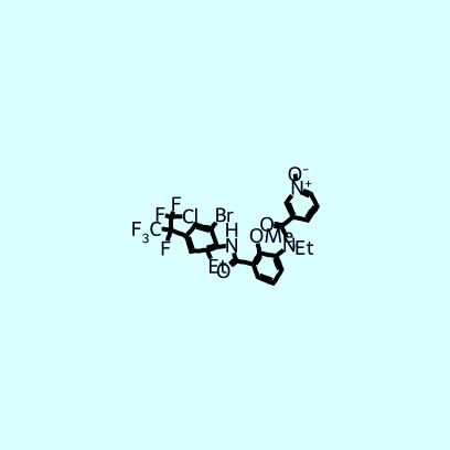 CCc1cc(C(F)(C(F)(F)F)C(F)(F)Cl)cc(Br)c1NC(=O)c1cccc(N(CC)C(=O)c2ccc[n+]([O-])c2)c1OC